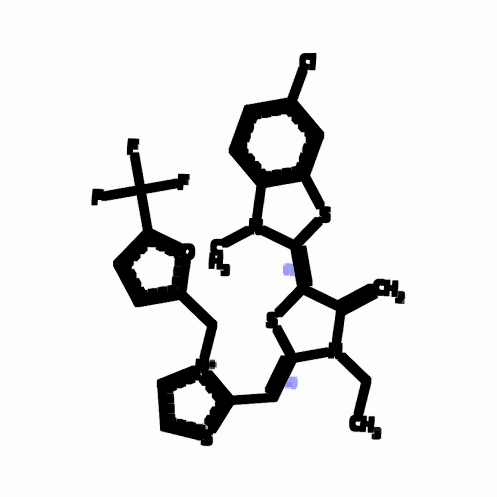 C=C1/C(=C2\Sc3cc(Cl)ccc3N2C)S/C(=C\c2scc[n+]2Cc2ccc(C(F)(F)F)o2)N1CC